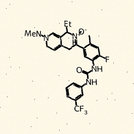 CCC1C2=CN(NC)CC=C2CC(c2cc(NC(=O)Nc3cccc(C(F)(F)F)c3)c(F)cc2C)[NH+]1[O-]